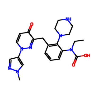 CCN(C(=O)O)c1cccc(Cc2nn(-c3cnn(C)c3)ccc2=O)c1N1CCNCC1